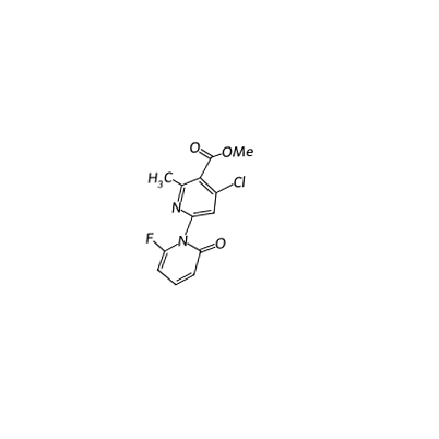 COC(=O)c1c(Cl)cc(-n2c(F)cccc2=O)nc1C